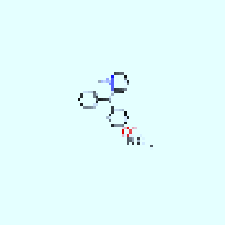 C[n+]1ccccc1C(c1ccccc1)c1ccccc1.O=[N+]([O-])[O-]